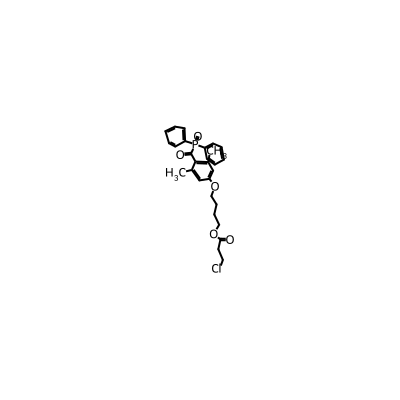 Cc1cc(OCCCCOC(=O)CCCl)cc(C)c1C(=O)P(=O)(c1ccccc1)c1ccccc1